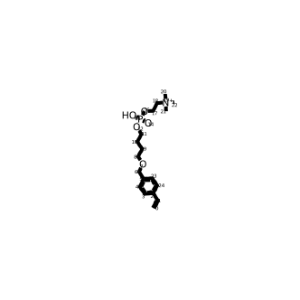 C=Cc1ccc(COCCCCOP(=O)(O)OCC[N+](C)(C)C)cc1